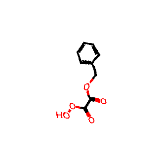 O=C(OO)C(=O)OCc1ccccc1